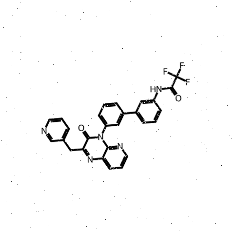 O=C(Nc1cccc(-c2cccc(-n3c(=O)c(Cc4cccnc4)nc4cccnc43)c2)c1)C(F)(F)F